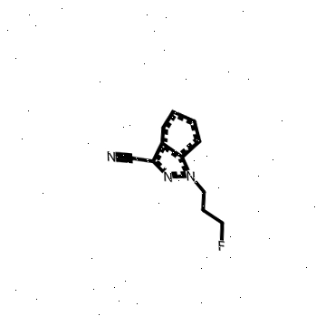 N#Cc1nn(CCCF)c2ccccc12